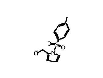 Cc1ccc(S(=O)(=O)n2cccc2CCl)cc1